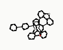 C=N/C(=N\C(=N/Cc1ccccc1)c1cccc2oc3cccc(-c4cc5oc6ccccc6c5c5ccccc45)c3c12)c1ccc(-c2ccccc2)cc1